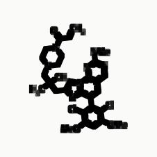 C=CC(=O)N1CCN(CC(C)(C)Cc2cn3c(n2)c(-c2c(Cl)c(OC)cc(OC)c2Cl)cc2cnc(NC)nc23)CC1